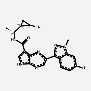 C[C@@H](NC(=O)c1c[nH]c2ncc(-c3nn(C)c4cc(Cl)ccc34)nc12)[C@H]1C[C@H]1C#N